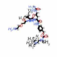 CC(C)[C@H](NC(=O)CCOCCN)C(=O)N[C@@H](CCCNC(N)=O)C(=O)Nc1ccc(COC(=O)N(C)CCN(C)C(C)(C)C)cc1